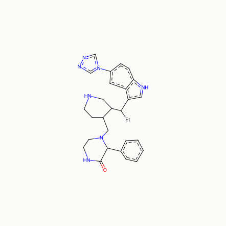 CCC(c1c[nH]c2ccc(-n3cnnc3)cc12)C1CNCCC1CN1CCNC(=O)C1c1ccccc1